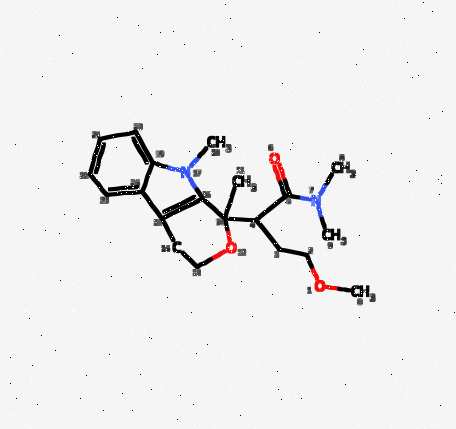 COCCC(C(=O)N(C)C)C1(C)OCCc2c1n(C)c1ccccc21